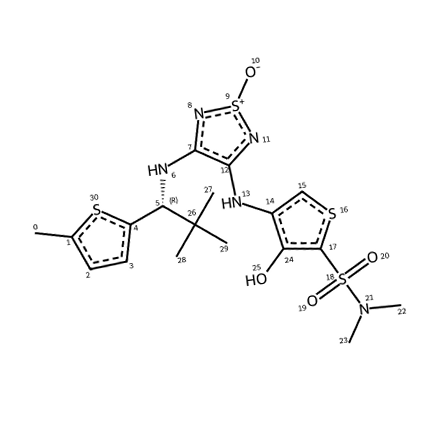 Cc1ccc([C@H](Nc2n[s+]([O-])nc2Nc2csc(S(=O)(=O)N(C)C)c2O)C(C)(C)C)s1